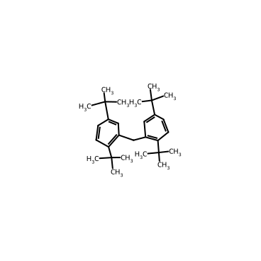 CC(C)(C)c1ccc(C(C)(C)C)c(Cc2cc(C(C)(C)C)ccc2C(C)(C)C)c1